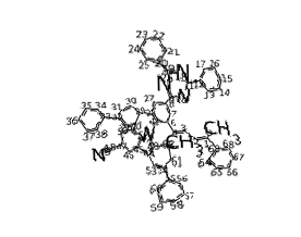 C/C(=C\C=C(/C)c1cc(-c2nc(-c3ccccc3)nc(-c3ccccc3)n2)cc(C2C=CC(c3ccccc3)=CC2)c1-n1c2c(c3cc(C#N)ccc31)C=C(c1ccccc1)CC2)c1ccccc1